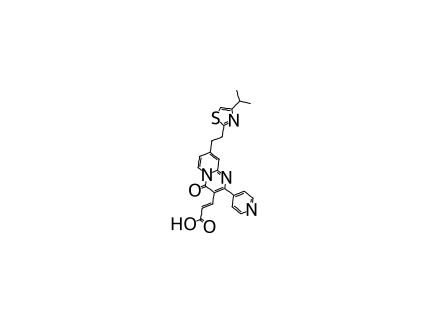 CC(C)c1csc(CCc2ccn3c(=O)c(C=CC(=O)O)c(-c4ccncc4)nc3c2)n1